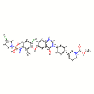 CC(C)(C)OC(=O)N1CCC=C(c2ccc(-n3cnc4ccc(Oc5c(F)ccc(NS(=O)(=O)N6CC[C@@H](F)C6)c5C#N)cc4c3=O)cc2)C1